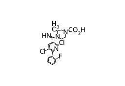 C[C@H]1CN(C(=O)O)CCN1C(=N)c1cc(Cl)c(-c2ccccc2F)nc1Cl